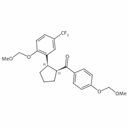 COCOc1ccc(C(=O)[C@H]2CCC[C@H]2c2cc(C(F)(F)F)ccc2OCOC)cc1